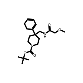 COCC(=O)NCC1(C2=CC=CCC2)CCN(C(=O)OC(C)(C)C)CC1